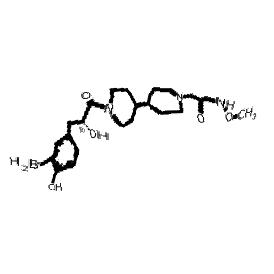 Bc1cc(C[C@@H](O)C(=O)N2CCC(C3CCN(CC(=O)NOC)CC3)CC2)ccc1O